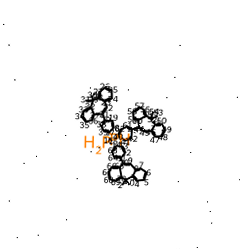 CC1(C)c2ccccc2C=C(c2ccc([PH](P)(c3ccc(C4=Cc5ccccc5C(C)(C)c5ccccc54)cc3)c3ccc(C4=Cc5ccccc5C(C)(C)c5ccccc54)cc3)cc2)c2ccccc21